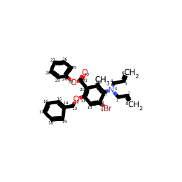 C=CCN(CC=C)c1c(Br)cc(OCc2ccccc2)c(C(=O)Oc2ccccc2)c1C